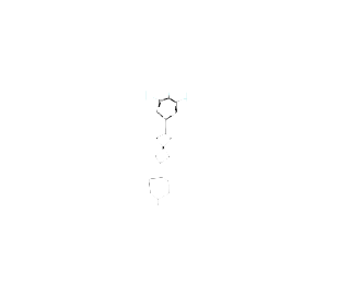 CC[C@H]1CC[C@H](C2CC3(CC(c4cc(F)c(F)c(F)c4)C3)C2)CC1